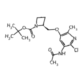 CC(=O)Nc1cc(OC[C@@H]2CCN2C(=O)OC(C)(C)C)c(C)nc1Cl